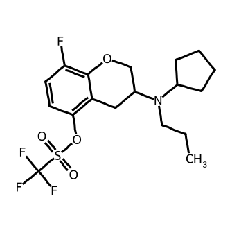 CCCN(C1CCCC1)C1COc2c(F)ccc(OS(=O)(=O)C(F)(F)F)c2C1